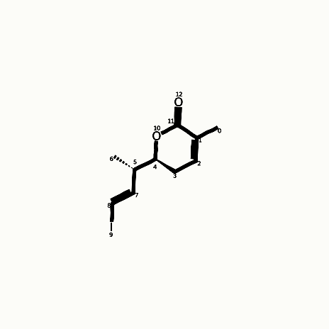 CC1=CC[C@@H]([C@@H](C)C=CI)OC1=O